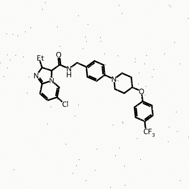 CCC1N=C2C=CC(Cl)=CN2C1C(=O)NCc1ccc(N2CCC(Oc3ccc(C(F)(F)F)cc3)CC2)cc1